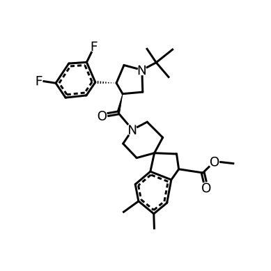 COC(=O)C1CC2(CCN(C(=O)[C@@H]3CN(C(C)(C)C)C[C@H]3c3ccc(F)cc3F)CC2)c2cc(C)c(C)cc21